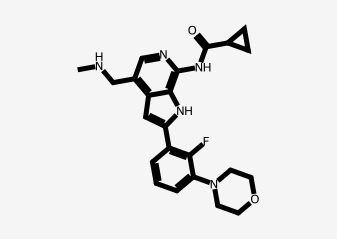 CNCc1cnc(NC(=O)C2CC2)c2[nH]c(-c3cccc(N4CCOCC4)c3F)cc12